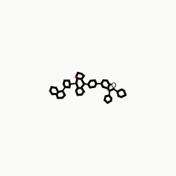 c1ccc(-c2oc3ccc(-c4ccc(-c5c6ccccc6c(-c6cccc(-c7cccc8ccccc78)c6)c6ccccc56)cc4)cc3c2-c2ccccc2)cc1